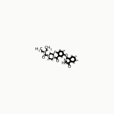 CCN(CC)C(=O)N1CCN(C(=O)c2cc(Oc3n[nH]c(=O)c4ccccc34)ccc2F)CC1